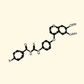 COc1cc2nccc(Oc3ccc(NC(=S)NC(=O)c4ccc(Br)cc4)cc3)c2cc1OC